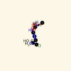 Cn1cc(-c2ccc(Cl)cc2)c(-c2cccc(N3CCN(c4ccc(NS(=O)(=O)c5ccc(NCCSc6ccccc6)c(S(=O)(=O)C(F)(F)F)c5)cc4)CC3)c2)c1C(=O)O